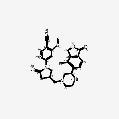 COc1cc(N2CC(CN3CCNC(c4ccc5c(c4C)COC5=O)C3)CC2=O)ncc1C#N